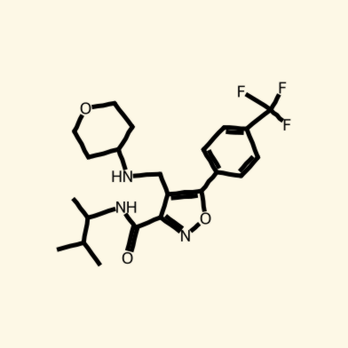 CC(C)C(C)NC(=O)c1noc(-c2ccc(C(F)(F)F)cc2)c1CNC1CCOCC1